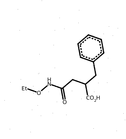 CCONC(=O)CC(Cc1ccccc1)C(=O)O